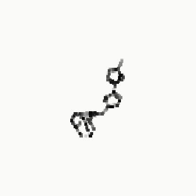 Cc1ccc(-c2ccc(CNC34CC5CC(CC(C5)C3)C4)s2)o1